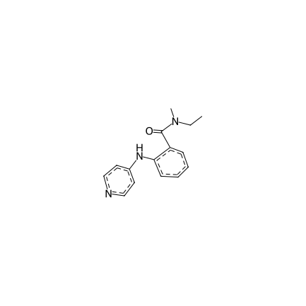 CCN(C)C(=O)c1ccccc1Nc1ccncc1